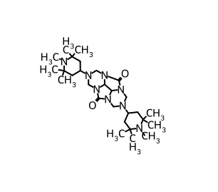 CN1C(C)(C)CC(N2CN3C(=O)N4CN(C5CC(C)(C)N(C)C(C)(C)C5)CN5C(=O)N(C2)C3C45)CC1(C)C